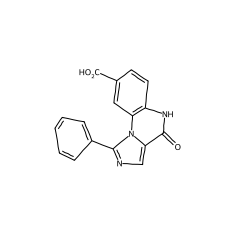 O=C(O)c1ccc2[nH]c(=O)c3cnc(-c4ccccc4)n3c2c1